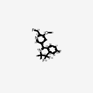 COc1cc(C2=NC(C)(C)C(F)(F)c3cc(F)ccc32)cnc1CF